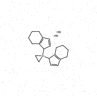 Br.Br.C1=C[CH]([Zr]2([CH]3C=CC4=C3CCCC4)[CH2][CH2]2)C2=C1CCCC2